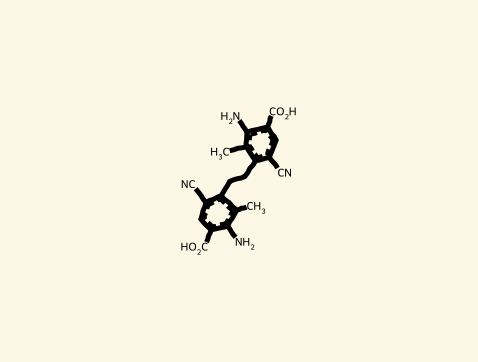 Cc1c(N)c(C(=O)O)cc(C#N)c1CCc1c(C#N)cc(C(=O)O)c(N)c1C